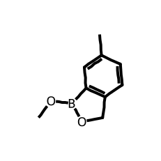 COB1OCc2ccc(C)cc21